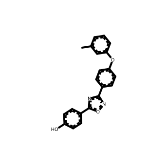 Cc1cccc(Oc2ccc(-c3noc(-c4ccc(O)cc4)n3)cc2)c1